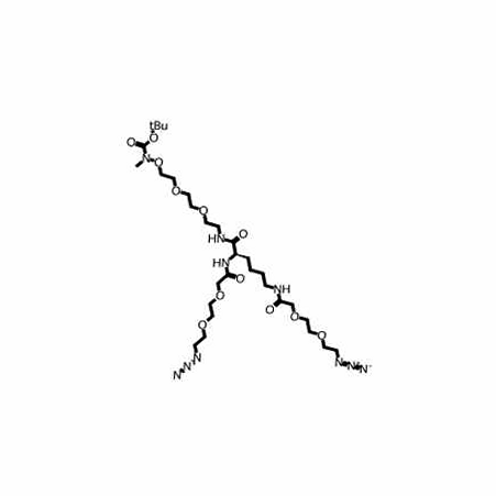 CN(OCCOCCOCCNC(=O)[C@@H](CCCCNC(=O)COCCOCCN=[N+]=[N-])NC(=O)COCCOCCN=[N+]=[N-])C(=O)OC(C)(C)C